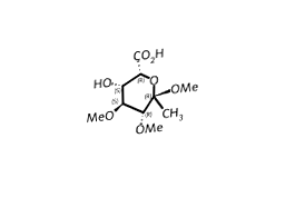 CO[C@H]1[C@H](O)[C@H](C(=O)O)O[C@@](C)(OC)[C@@H]1OC